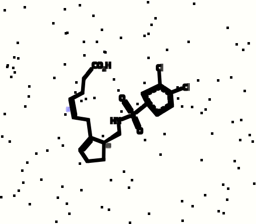 O=C(O)CC/C=C\CC1=CCC[C@@H]1CNS(=O)(=O)c1ccc(Cl)c(Cl)c1